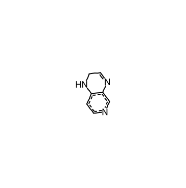 C1=Nc2cnccc2NC1